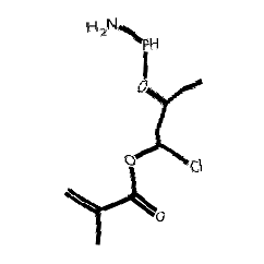 C=C(C)C(=O)OC(Cl)C(C)OPN